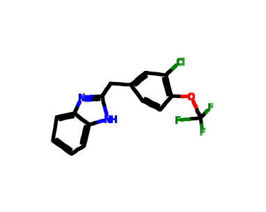 FC(F)(F)Oc1ccc(Cc2nc3ccccc3[nH]2)cc1Cl